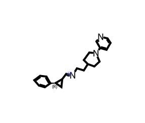 C(=N\CCC1CCN(c2cccnc2)CC1)/C1C[C@H]1c1ccccc1